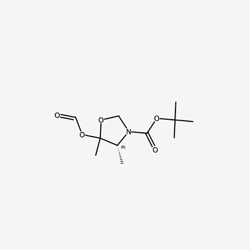 C[C@H]1N(C(=O)OC(C)(C)C)COC1(C)OC=O